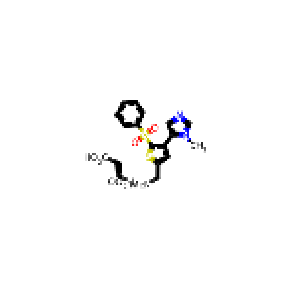 CNCc1cc(-c2cncn2C)c(S(=O)(=O)c2ccccc2)s1.O=C(O)/C=C/C(=O)O